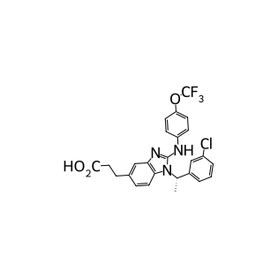 C[C@@H](c1cccc(Cl)c1)n1c(Nc2ccc(OC(F)(F)F)cc2)nc2cc(CCC(=O)O)ccc21